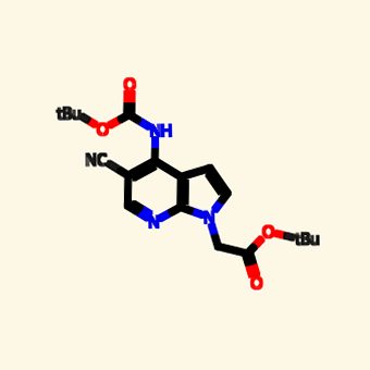 CC(C)(C)OC(=O)Cn1ccc2c(NC(=O)OC(C)(C)C)c(C#N)cnc21